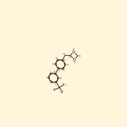 FC(F)(F)c1cccc(-c2ccc(CC3OCO3)cc2)c1